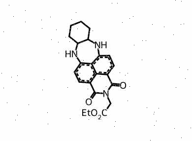 CCOC(=O)CN1C(=O)c2ccc3c4c(ccc(c24)C1=O)NC1CCCCC1N3